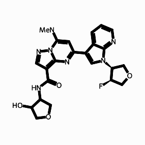 CNc1cc(-c2cn([C@H]3COC[C@H]3F)c3ncccc23)nc2c(C(=O)NC3COCC3O)cnn12